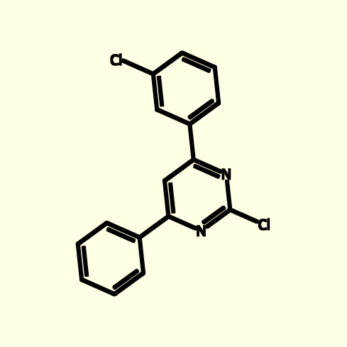 Clc1cccc(-c2cc(-c3ccccc3)nc(Cl)n2)c1